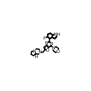 Fc1ccc2[nH]ccc2c1-c1nc(N2CCOCC2)c2oc(CN3CCN4CCC[C@H]4C3)cc2n1